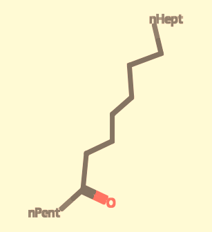 CCCCCCCCCCCCCC(=O)CCCCC